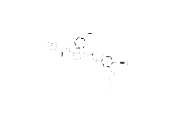 COCCNc1cc(NC(=O)N2c3nc(C=O)ccc3C3(NC(=O)C4CN(C)C4)CC2C3)ncc1C#N